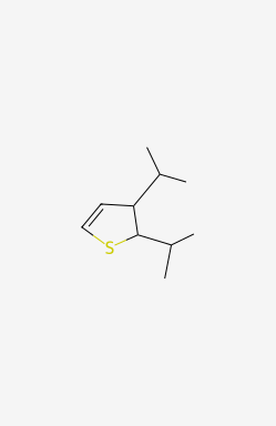 CC(C)C1C=CSC1C(C)C